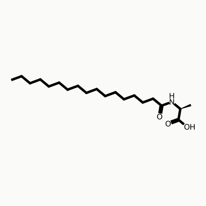 CCCCCCCCCCCCCCCCC(=O)N[C@@H](C)C(=O)O